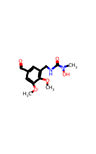 COc1cc(C=O)cc(CNC(=O)N(C)O)c1OC